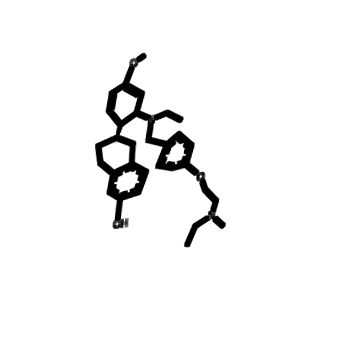 CCN(C)CCOc1ccc(CN(CC)C2C=C(OC)C=CC2[C@@H]2CCc3cc(O)ccc3C2)cc1